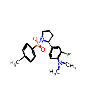 Cc1ccc(S(=O)(=O)N2CCC[C@H]2c2ccc(N(C)C)c(F)c2)cc1